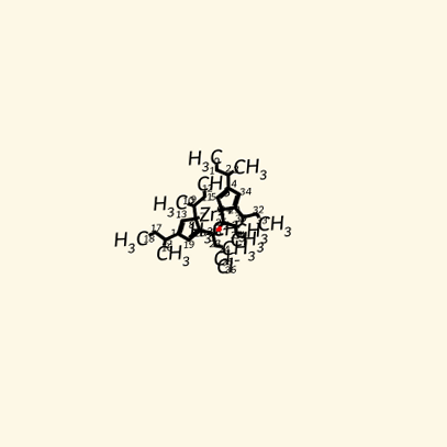 CCC(C)C1=C[C]([Zr+2][C]2(C(C)CC)C=C(C(C)CC)C=C2C(C)CC)(C(C)CC)C(C(C)CC)=C1.[Cl-].[Cl-]